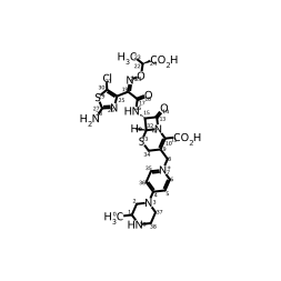 CC1CN(c2cc[n+](CC3=C(C(=O)O)N4C(=O)[C@@H](NC(=O)/C(=N\O[C@@H](C)C(=O)O)c5nc(N)sc5Cl)[C@H]4SC3)cc2)CCN1